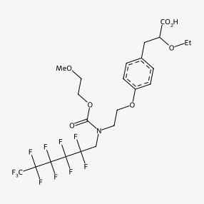 CCOC(Cc1ccc(OCCN(CC(F)(F)C(F)(F)C(F)(F)C(F)(F)C(F)(F)F)C(=O)OCCOC)cc1)C(=O)O